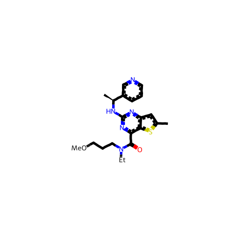 CCN(CCCOC)C(=O)c1nc(N[C@@H](C)c2cccnc2)nc2cc(C)sc12